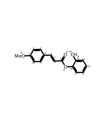 COc1ccc(/C=C/C(=O)Oc2ccccc2C)cc1